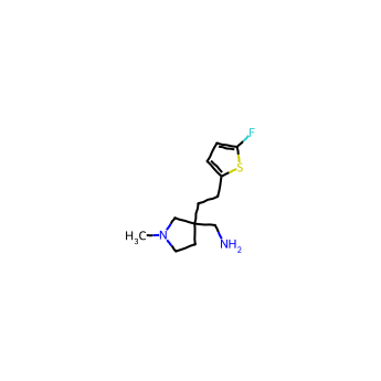 CN1CCC(CN)(CCc2ccc(F)s2)C1